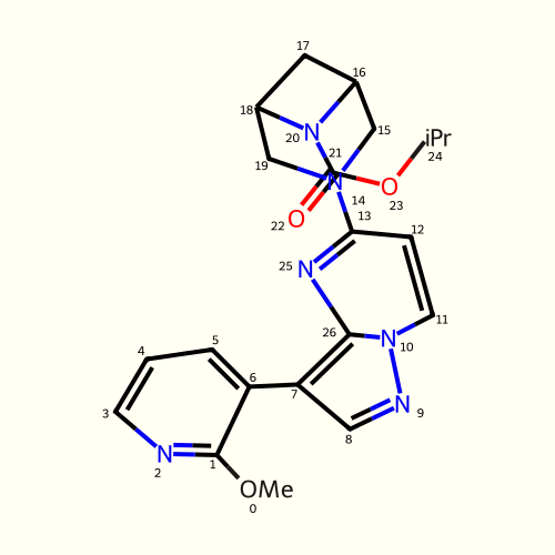 COc1ncccc1-c1cnn2ccc(N3CC4CC(C3)N4C(=O)OC(C)C)nc12